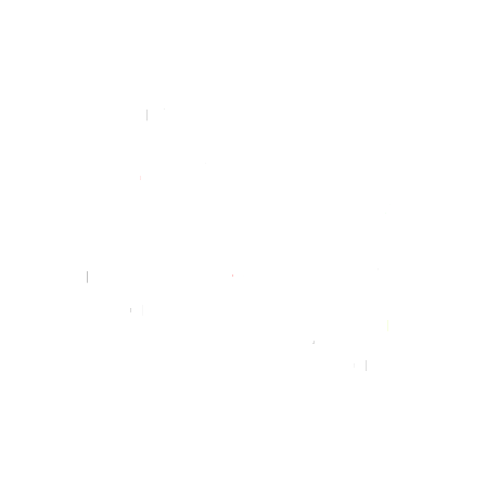 CCc1ccc(Oc2ccc(C(C)(F)F)cc2Cl)cc1C1=C(O)CC(C)(C)CC1=O